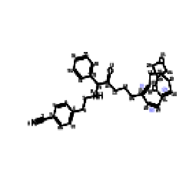 N#Cc1ccc(CCNC(C(=O)CCCC2=C\CCC/C=C(OC3COC3)/C=C\2)c2ccccc2)cc1